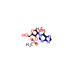 CSc1c2ncnc-2ncn1[C@@]1(O)CO[C@H](CO)[C@@H]1OS(C)(=O)=O